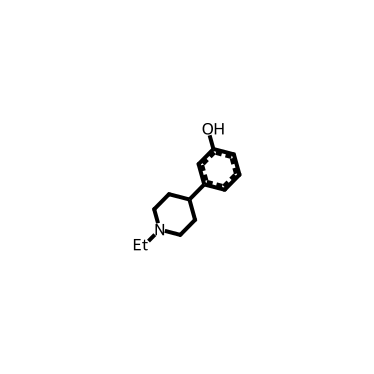 CCN1CCC(c2cccc(O)c2)CC1